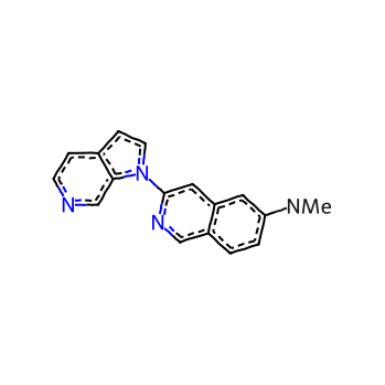 CNc1ccc2cnc(-n3ccc4ccncc43)cc2c1